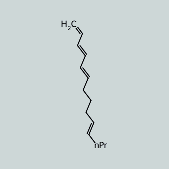 C=CC=CC=CCCCC=CCCC